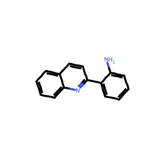 Nc1ccccc1-c1ccc2ccccc2n1